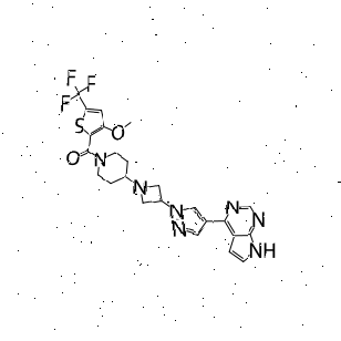 COc1cc(C(F)(F)F)sc1C(=O)N1CCC(N2C[C](n3cc(-c4ncnc5[nH]ccc45)cn3)C2)CC1